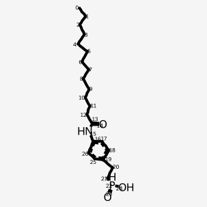 CCCCCCCCCCCCCC(=O)Nc1ccc(CC[PH](=O)O)cc1